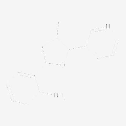 CC1CC(c2ccccc2N)OC1c1cccnc1